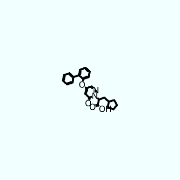 O=C(O)C(CC1CCCC1)n1ncc(Oc2ccccc2-c2ccccc2)cc1=O